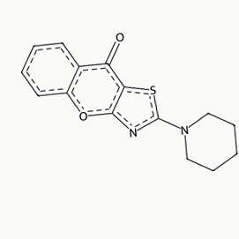 O=c1c2ccccc2oc2nc(N3CCCCC3)sc12